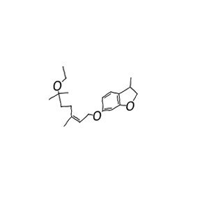 CCOC(C)(C)CCC(C)=CCOc1ccc2c(c1)OCC2C